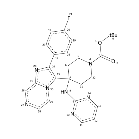 CC(C)(C)OC(=O)N1CCC(Nc2ncccn2)(c2c(-c3ccc(F)cc3)nc3cnccn23)CC1